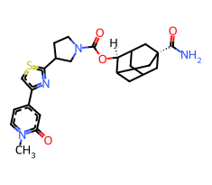 Cn1ccc(-c2csc(C3CCN(C(=O)O[C@H]4C5CC6CC4C[C@](C(N)=O)(C6)C5)C3)n2)cc1=O